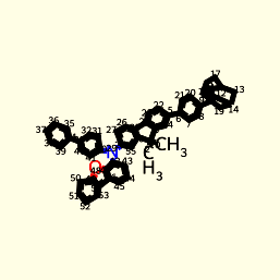 CC1(C)c2cc(-c3ccc(C45CC6CC(CC(C6)C4)C5)cc3)ccc2-c2ccc(N(c3ccc(-c4ccccc4)cc3)c3cccc4c3oc3ccccc34)cc21